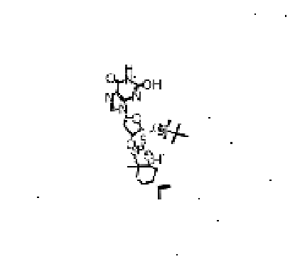 C=C(C)[C@@H]1CC[C@]2(C)S[P@@](=S)(O[C@H]3C[C@H](n4cnc5c(=O)[nH]c(O)nc54)O[C@@H]3CO[Si](C)(C)C(C)(C)C)O[C@H]2C1